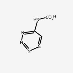 O=C(O)Nc1cnnnn1